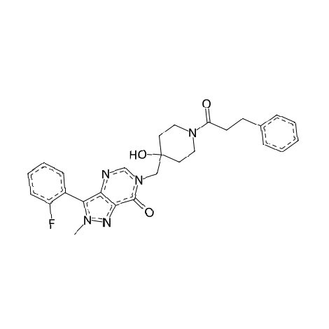 Cn1nc2c(=O)n(CC3(O)CCN(C(=O)CCc4ccccc4)CC3)cnc2c1-c1ccccc1F